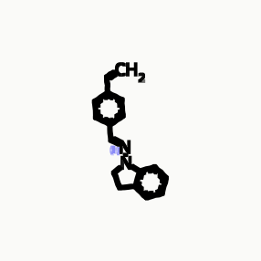 C=Cc1ccc(/C=N/N2CCc3ccccc32)cc1